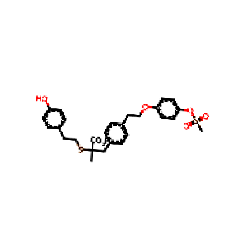 C[C@@](Cc1ccc(CCOc2ccc(OS(C)(=O)=O)cc2)cc1)(SCCc1ccc(O)cc1)C(=O)O